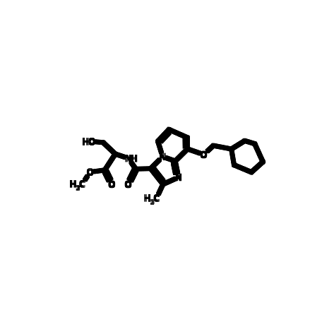 COC(=O)C(CO)NC(=O)c1c(C)nc2c(OCC3CCCCC3)cccn12